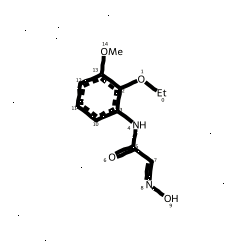 CCOc1c(NC(=O)C=NO)cccc1OC